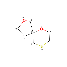 C1CC2(CO1)CSCCO2